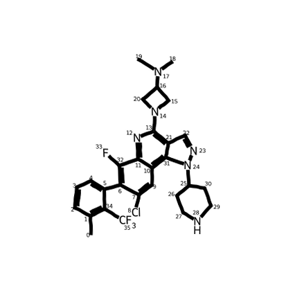 Cc1cccc(-c2c(Cl)cc3c(nc(N4CC(N(C)C)C4)c4cnn(C5CCNCC5)c43)c2F)c1C(F)(F)F